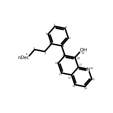 CCCCCCCCCCCCc1ccccc1-c1ccc2cccnc2c1O